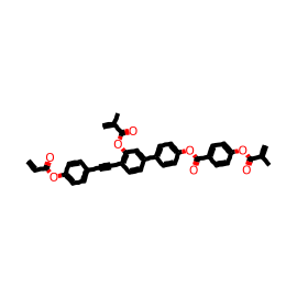 C=CC(=O)Oc1ccc(C#Cc2ccc(-c3ccc(OC(=O)c4ccc(OC(=O)C(=C)C)cc4)cc3)cc2OC(=O)C(=C)C)cc1